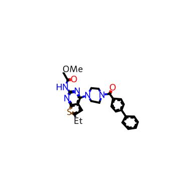 CCc1cc2c(N3CCN(C(=O)c4ccc(-c5ccccc5)cc4)CC3)nc(NC(=O)COC)nc2s1